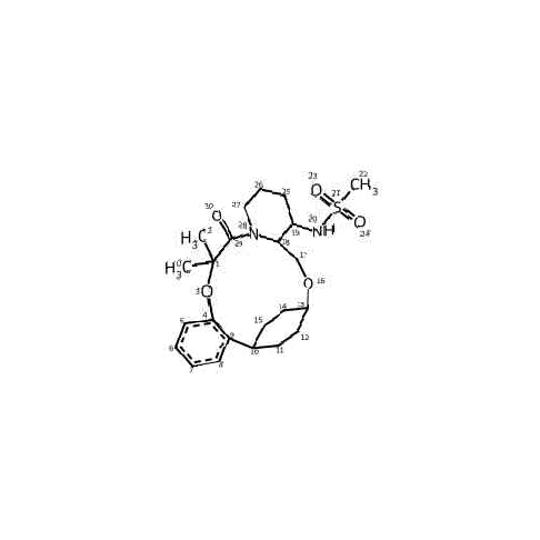 CC1(C)Oc2ccccc2C2CCC(CC2)OCC2C(NS(C)(=O)=O)CCCN2C1=O